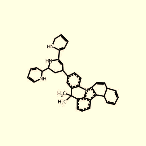 CC1(C)c2cc(C3C=C(C4=CC=CCN4)NC(C4C=CC=CN4)C3)ccc2-n2c3c(c4cccc1c42)C1C=CC=CC1C=C3